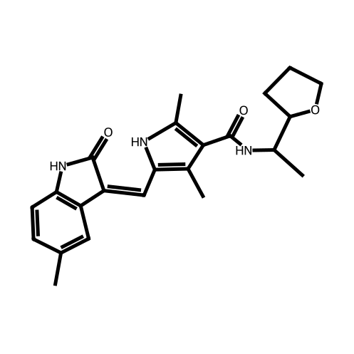 Cc1ccc2c(c1)/C(=C/c1[nH]c(C)c(C(=O)NC(C)C3CCCO3)c1C)C(=O)N2